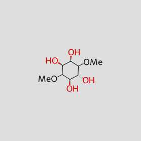 COC1[C@@H](O)[C@@H](O)C(OC)[C@H](O)[C@H]1O